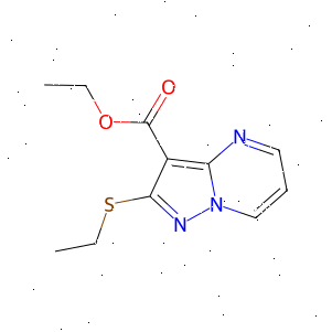 CCOC(=O)c1c(SCC)nn2cccnc12